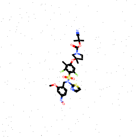 COc1cc(N=O)ccc1CN(c1nccs1)S(=O)(=O)c1c(F)cc(OC2(C)CCN(C(=O)OC(C)(C)C#N)C2)c(C)c1F